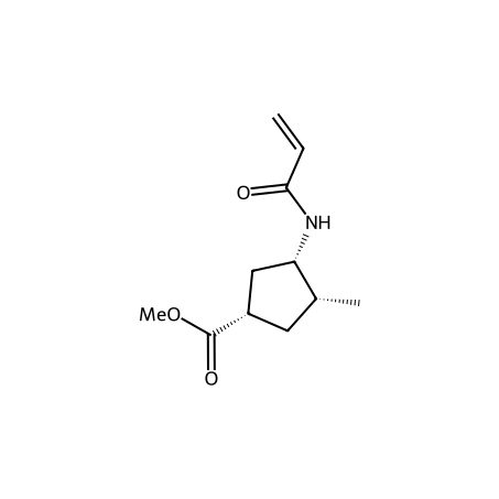 C=CC(=O)N[C@H]1C[C@@H](C(=O)OC)C[C@H]1C